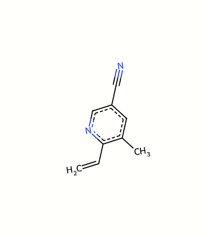 C=Cc1ncc(C#N)cc1C